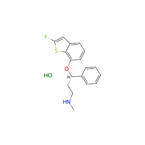 CNCC[C@H](Oc1cccc2cc(F)sc12)c1ccccc1.Cl